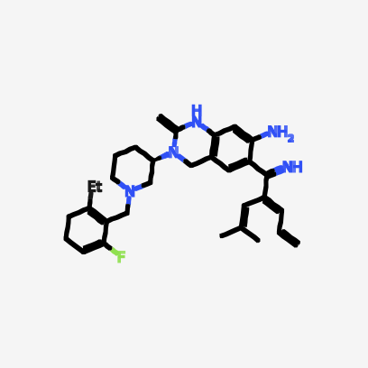 C=C/C=C(\C=C(C)C)C(=N)c1cc2c(cc1N)NC(=C)N([C@@H]1CCCN(CC3=C(CC)CCC=C3F)C1)C2